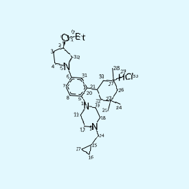 CCO[C@@H]1CCN(c2ccc(N3CCN(CC4CC4)CC3)c(C3CC(C)(C)CC(C)(C)C3)c2)C1.Cl